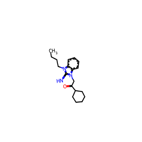 CCCCn1c(=N)n(CC(=O)C2CCCCC2)c2ccccc21